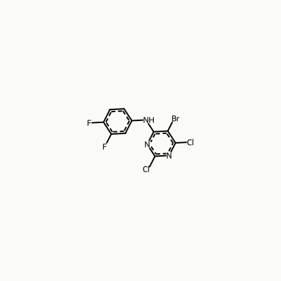 Fc1ccc(Nc2nc(Cl)nc(Cl)c2Br)cc1F